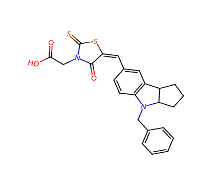 O=C(O)CN1C(=O)/C(=C\c2ccc3c(c2)C2CCCC2N3Cc2ccccc2)SC1=S